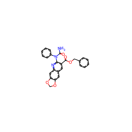 NC(=O)N(c1ccccc1)c1nc2cc3c(cc2cc1C(=O)OCc1ccccc1)OCO3